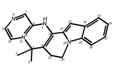 CC1(C)C2=C(Nc3cncc[n+]31)c1cc3ccccc3n1CC2